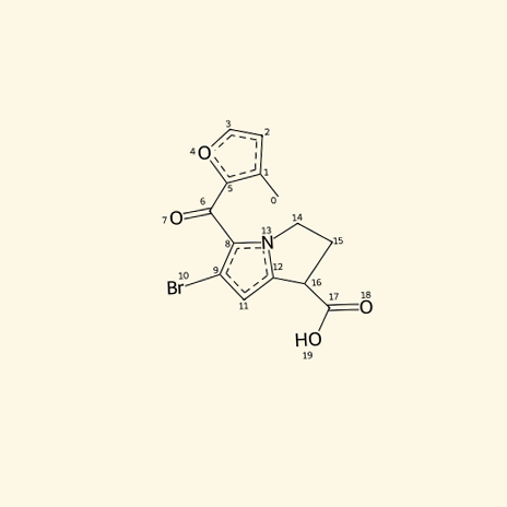 Cc1ccoc1C(=O)c1c(Br)cc2n1CCC2C(=O)O